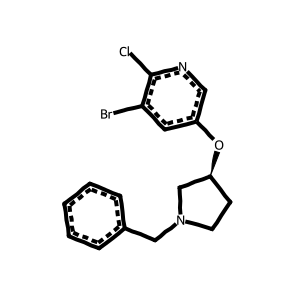 Clc1ncc(O[C@H]2CCN(Cc3ccccc3)C2)cc1Br